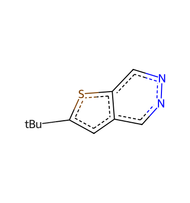 CC(C)(C)c1cc2cnncc2s1